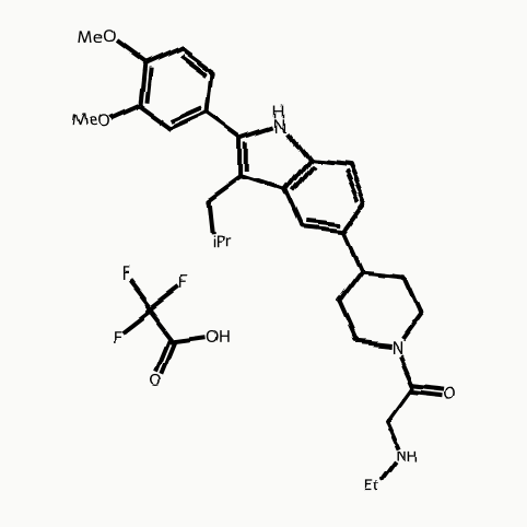 CCNCC(=O)N1CCC(c2ccc3[nH]c(-c4ccc(OC)c(OC)c4)c(CC(C)C)c3c2)CC1.O=C(O)C(F)(F)F